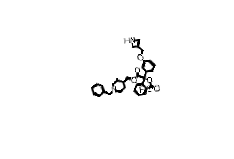 O=C(O[C@@](C(=O)OCC1CCN(Cc2ccccc2)CC1)(c1ccccc1)c1cccc(OCC2CNC2)c1)C(F)(F)F